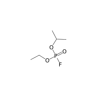 CCOP(=O)(F)OC(C)C